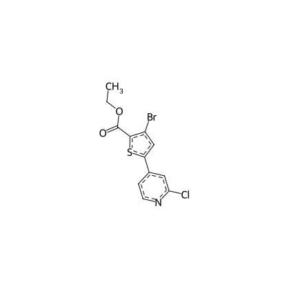 CCOC(=O)c1sc(-c2ccnc(Cl)c2)cc1Br